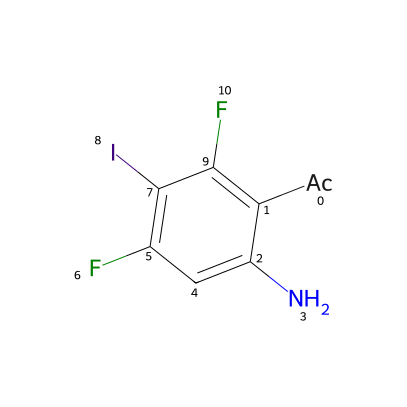 CC(=O)c1c(N)cc(F)c(I)c1F